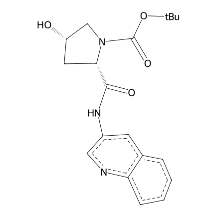 CC(C)(C)OC(=O)N1C[C@@H](O)C[C@H]1C(=O)Nc1cnc2ccccc2c1